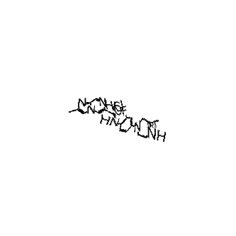 Cc1cn2cc(C(=O)Nc3ccc(N4CCN[C@H](C)C4)cc3F)ncc2n1.Cl